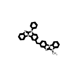 Cn1c2ccccc2n2c3ccc(Cc4ccc5c(c4)n4c6ccccc6nc4n5-c4ccccc4)cc3nc12